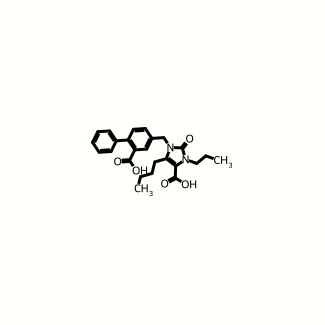 CCCCc1c(C(=O)O)n(CCC)c(=O)n1Cc1ccc(-c2ccccc2)c(C(=O)O)c1